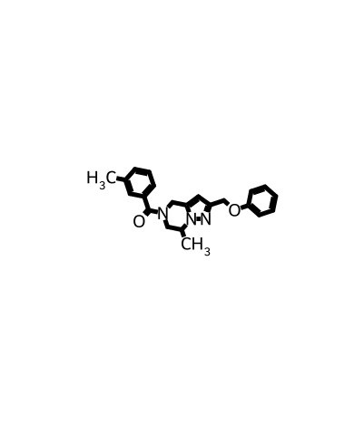 Cc1cccc(C(=O)N2Cc3cc(COc4ccccc4)nn3C(C)C2)c1